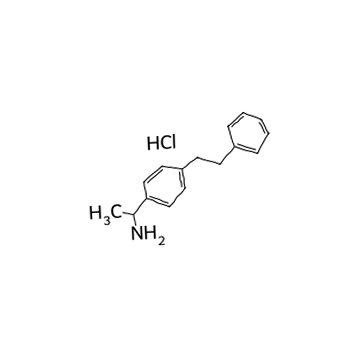 CC(N)c1ccc(CCc2ccccc2)cc1.Cl